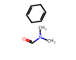 C1=CCC=CC1.CN(C)C=O